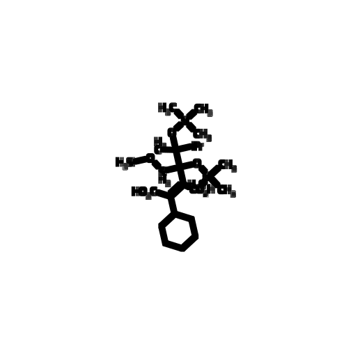 CC(C)C(C)(O[Si](C)(C)C)C(O[Si](C)(C)C)([SiH2]O[SiH3])/C(C(=O)O)=C(\C(=O)O)C1CCCCC1